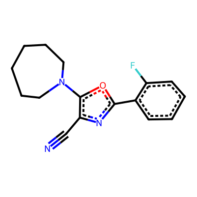 N#Cc1nc(-c2ccccc2F)oc1N1CCCCCC1